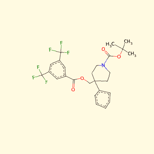 CC(C)(C)OC(=O)N1CCC(COC(=O)c2cc(C(F)(F)F)cc(C(F)(F)F)c2)(c2ccccc2)CC1